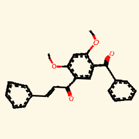 COc1cc(OC)c(C(=O)c2ccccc2)cc1C(=O)C=Cc1ccccc1